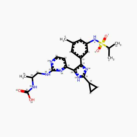 Cc1cc(NS(=O)(=O)C(C)C)cc(-c2nc(C3CC3)[nH]c2-c2ccnc(NCC(C)NC(=O)O)n2)c1